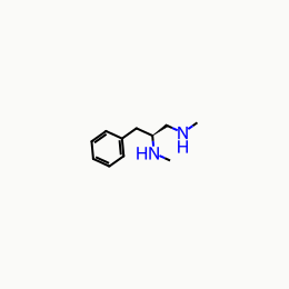 CNC[C@H](Cc1ccccc1)NC